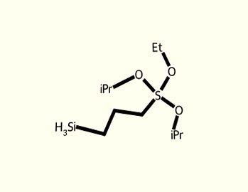 CCOS(CCC[SiH3])(OC(C)C)OC(C)C